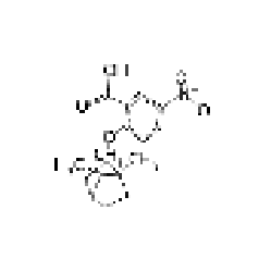 CC1(C)C2CCC1(C)C(Oc1ccc([N+](=O)[O-])cc1C(=O)O)C2